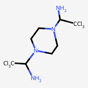 NC(N1CCN(C(N)C(Cl)(Cl)Cl)CC1)C(Cl)(Cl)Cl